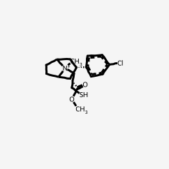 COC(=O)[C@@H]1C2CCC(C[C@@H]1c1ccc(Cl)cc1)[N+]2(C)CCS